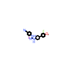 COc1ccc(C2CCC(N/C(=N/I)Nc3ccc(C#N)cc3)CC2)cc1F